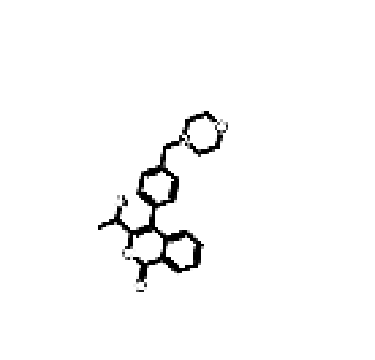 CC(Br)c1oc(=O)c2ccccc2c1-c1ccc(CN2CCOCC2)cc1